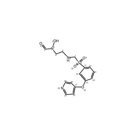 O=CN(O)CCNCS(=O)(=O)c1cccc(Oc2ccncc2)c1